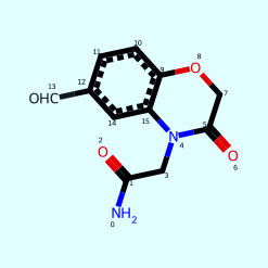 NC(=O)CN1C(=O)COc2ccc(C=O)cc21